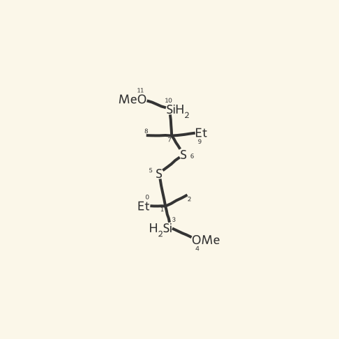 CCC(C)([SiH2]OC)SSC(C)(CC)[SiH2]OC